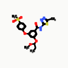 CCC(OC)Oc1cc(Oc2ccc(S(C)(=O)=O)cc2)cc(C(=O)Nc2nnc(C)s2)c1